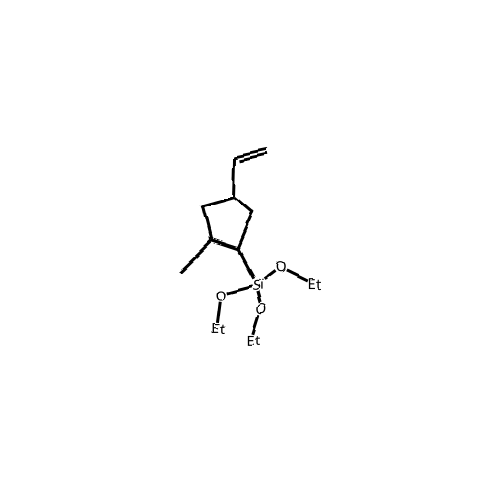 C=CC1CC(C)C([Si](OCC)(OCC)OCC)C1